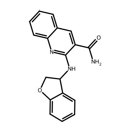 NC(=O)c1cc2c[c]ccc2nc1NC1COc2ccccc21